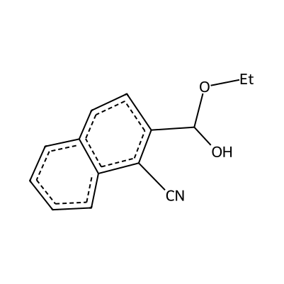 CCOC(O)c1ccc2ccccc2c1C#N